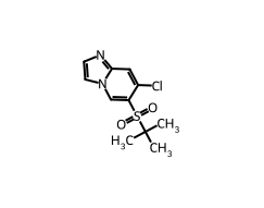 CC(C)(C)S(=O)(=O)c1cn2ccnc2cc1Cl